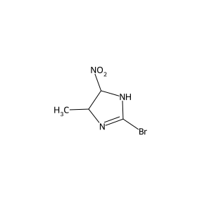 CC1N=C(Br)NC1[N+](=O)[O-]